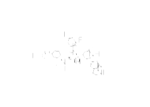 COc1cccc(C2(NC[C@@H](O)[C@H](Cc3cc(F)cc(F)c3)NC(=O)c3cc(-c4cnc5[nH]ccc5c4)[nH]c(=O)c3)CC2)c1